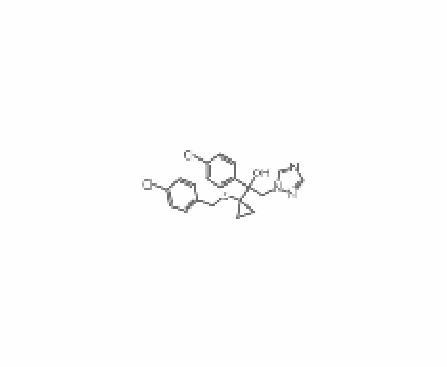 OC(Cn1cncn1)(c1ccc(Cl)cc1)C1(SCc2ccc(Cl)cc2)CC1